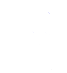 CCOc1cccc(-n2cc(-c3ccccc3)c(C#N)c2N)c1